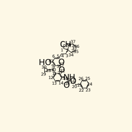 CCC1(CCc2cc(O)c(C(c3cccc(NC(=O)OCc4ccccc4)c3)C3CC3)c(=O)o2)C=CC=CC1